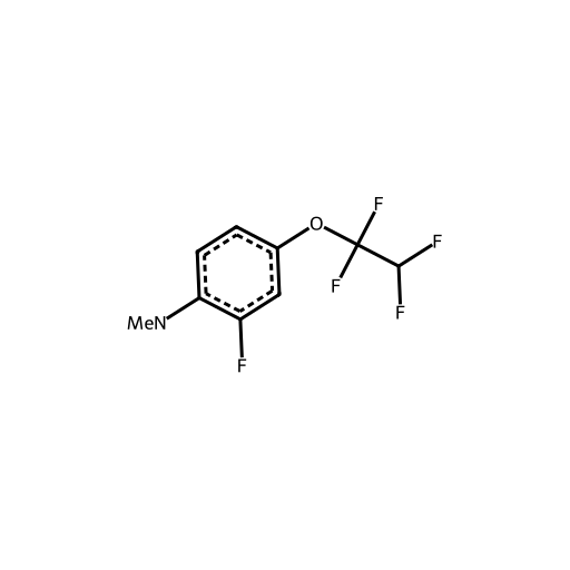 CNc1ccc(OC(F)(F)C(F)F)cc1F